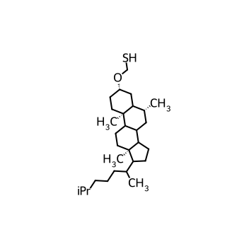 CC(C)CCCC(C)C1CCC2C3C[C@@H](C)C4C[C@@H](OCS)CC[C@]4(C)C3CC[C@]12C